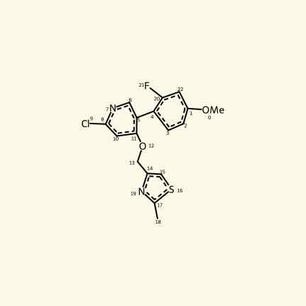 COc1ccc(-c2cnc(Cl)cc2OCc2csc(C)n2)c(F)c1